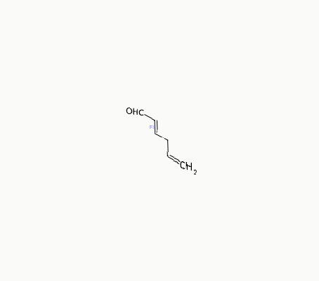 C=CC/C=C/C=O